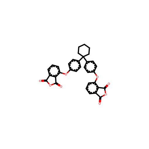 O=C1OC(=O)c2c(Oc3ccc(C4(c5ccc(Oc6cccc7c6C(=O)OC7=O)cc5)CCCCC4)cc3)cccc21